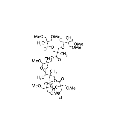 C=C(OCC(C)(COC(=O)C(C)(COC(=O)C(C)(COC)COC)COC(=O)C(C)(COC)COC)C(=O)OC)C(C)(COC(=O)C(C)(COC)COC)COC(=O)C(C)(COC)COCC